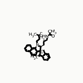 C=C1c2ccccc2C[C@@]12c1ccc3ccccc3c1N(CCC(C)C)[C@H]2CCCNC(C)=O